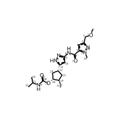 COCc1cc(C(=O)Nc2cc([C@@H]3C[C@@H](F)[C@H](OC(=O)NC(C)C)C3)[nH]n2)n(C)n1